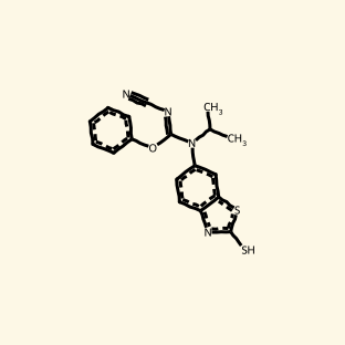 CC(C)N(C(=NC#N)Oc1ccccc1)c1ccc2nc(S)sc2c1